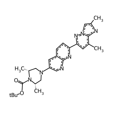 Cc1cn2nc(-c3ccc4cc(N5C[C@@H](C)N(C(=O)OC(C)(C)C)[C@@H](C)C5)cnc4n3)cc(C)c2n1